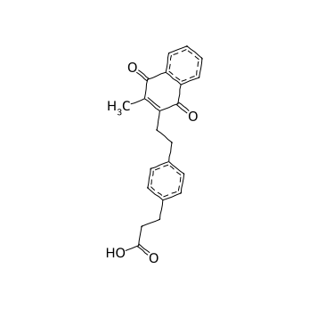 CC1=C(CCc2ccc(CCC(=O)O)cc2)C(=O)c2ccccc2C1=O